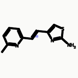 Cc1cccc(/C=C/c2csc(N)n2)n1